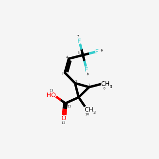 CC1C(/C=C\C(F)(F)F)C1(C)C(=O)O